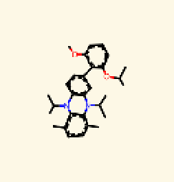 COc1cccc(OC(C)C)c1-c1ccc2c(c1)N(C(C)C)c1c(C)ccc(C)c1N2C(C)C